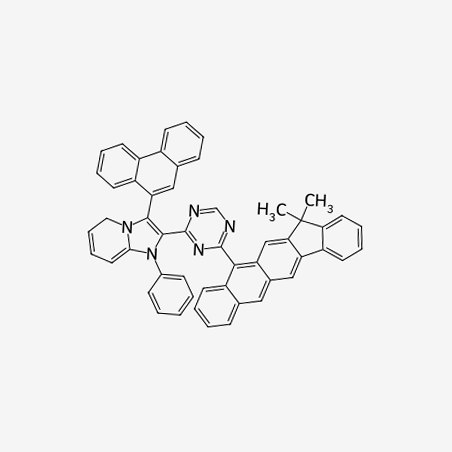 CC1(C)c2ccccc2-c2cc3cc4ccccc4c(-c4ncnc(C5=C(c6cc7ccccc7c7ccccc67)N6CC=CC=C6N5c5ccccc5)n4)c3cc21